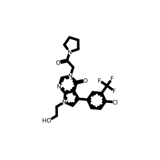 O=C(Cn1cnc2c(c(-c3ccc(Cl)c(C(F)(F)F)c3)cn2CCO)c1=O)N1CCCC1